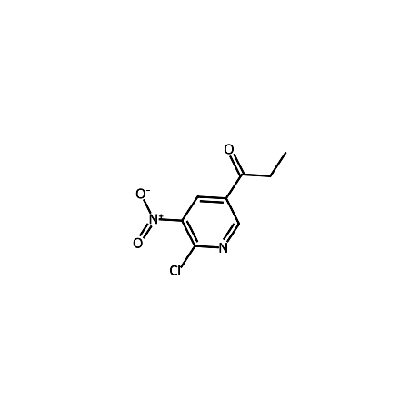 CCC(=O)c1cnc(Cl)c([N+](=O)[O-])c1